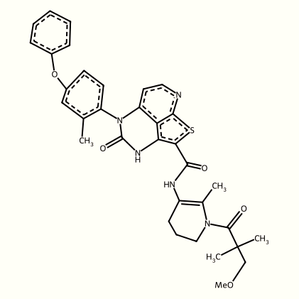 COCC(C)(C)C(=O)N1CCCC(NC(=O)c2sc3nccc4c3c2NC(=O)N4c2ccc(Oc3ccccc3)cc2C)=C1C